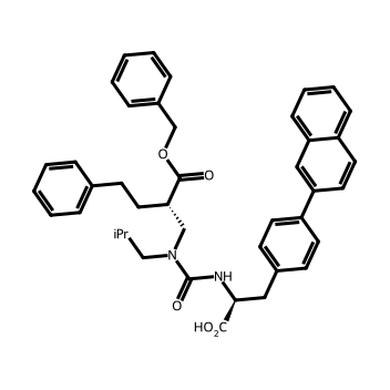 CC(C)CN(C[C@H](CCc1ccccc1)C(=O)OCc1ccccc1)C(=O)N[C@@H](Cc1ccc(-c2ccc3ccccc3c2)cc1)C(=O)O